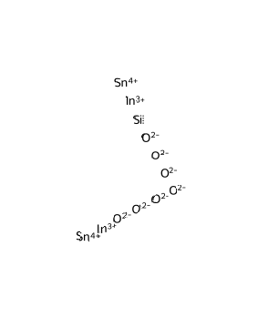 [In+3].[In+3].[O-2].[O-2].[O-2].[O-2].[O-2].[O-2].[O-2].[Si].[Sn+4].[Sn+4]